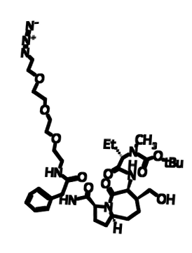 CC[C@@H](C(=O)N[C@@H]1C(=O)N2[C@@H](CC[C@@H]1CO)CC[C@H]2C(=O)N[C@H](C(=O)NCCOCCOCCOCCN=[N+]=[N-])c1ccccc1)N(C)C(=O)OC(C)(C)C